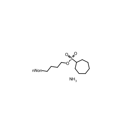 CCCCCCCCCCCCCOS(=O)(=O)C1CCCCCC1.N